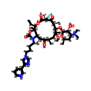 CC[C@H]1OC(=O)[C@@](C)(F)C(=O)[C@H](C)[C@@H](O[C@@H]2O[C@H](C)C[C@H](N(C)C)[C@H]2O)[C@](C)(OC)C[C@@H](C)C(=O)[C@H](C)C2N(CCCCn3cnc(-c4cccnc4)c3)C(=O)O[C@@]21C